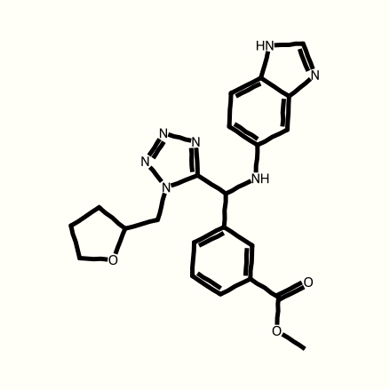 COC(=O)c1cccc(C(Nc2ccc3[nH]cnc3c2)c2nnnn2CC2CCCO2)c1